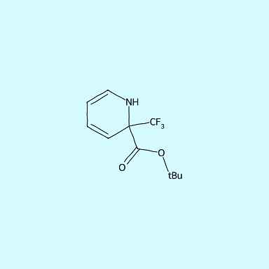 CC(C)(C)OC(=O)C1(C(F)(F)F)C=CC=CN1